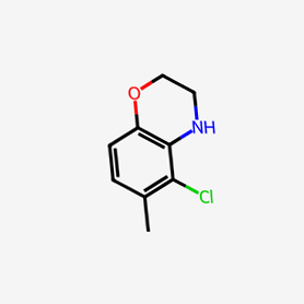 Cc1ccc2c(c1Cl)NCCO2